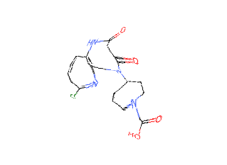 O=C(O)N1CCC(n2c(=O)c(=O)[nH]c3ccc(Cl)nc32)CC1